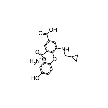 NS(=O)(=O)c1cc(C(=O)O)cc(NCC2CC2)c1Oc1ccc(O)cc1